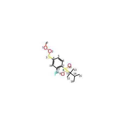 COOSc1ccc(S(=O)(=O)C(C)(C)C(C)C)c(F)c1